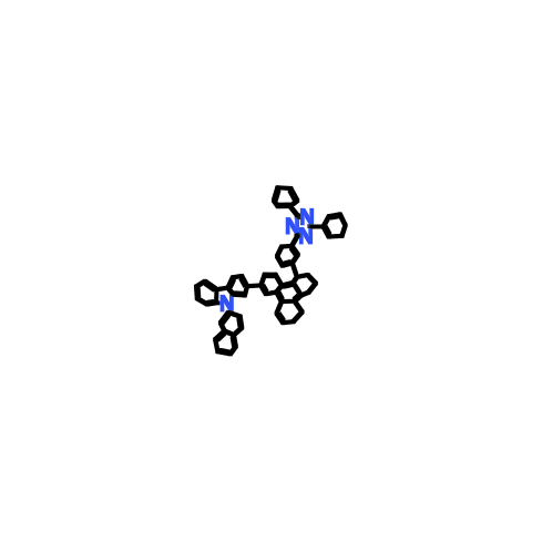 C1=CC(c2nc(C3=CC(C4CCCc5c6c(c7cc(-c8ccc9c%10ccccc%10n(-c%10ccc%11ccccc%11c%10)c9c8)ccc7c54)C=CCC6)=CCC3)nc(-c3ccccc3)n2)=CCC1